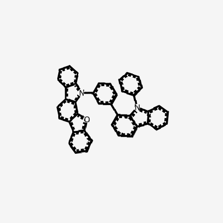 c1ccc(-n2c3ccccc3c3cccc(-c4cccc(-n5c6ccccc6c6ccc7c8ccccc8oc7c65)c4)c32)cc1